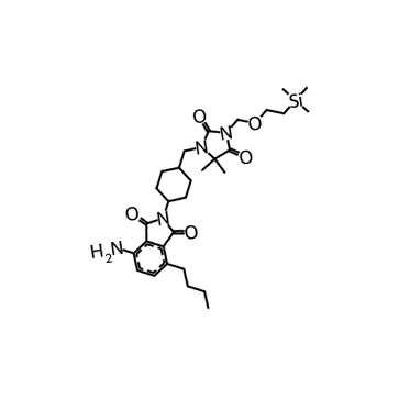 CCCCc1ccc(N)c2c1C(=O)N(C1CCC(CN3C(=O)N(COCC[Si](C)(C)C)C(=O)C3(C)C)CC1)C2=O